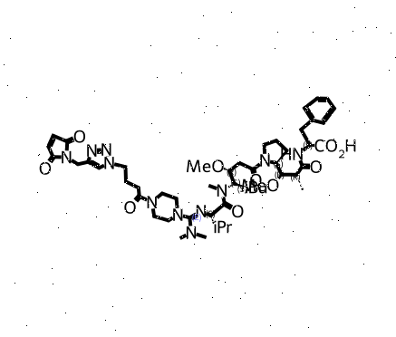 CC[C@H](C)[C@@H]([C@@H](CC(=O)N1CCC[C@H]1[C@H](OC)[C@@H](C)C(=O)N[C@@H](Cc1ccccc1)C(=O)O)OC)N(C)C(=O)[C@@H](/N=C(\N(C)C)N1CCN(C(=O)CCCn2cc(CN3C(=O)C=CC3=O)nn2)CC1)C(C)C